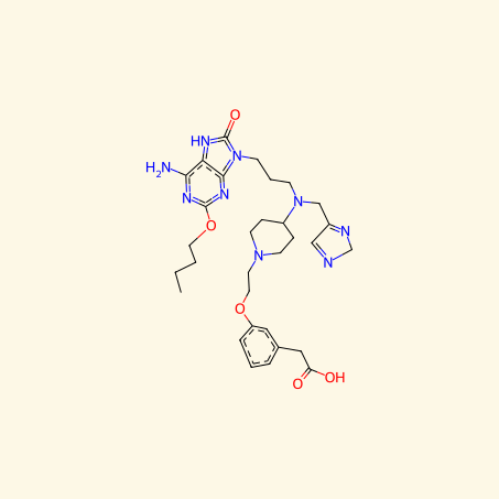 CCCCOc1nc(N)c2[nH]c(=O)n(CCCN(CC3=NCN=C3)C3CCN(CCOc4cccc(CC(=O)O)c4)CC3)c2n1